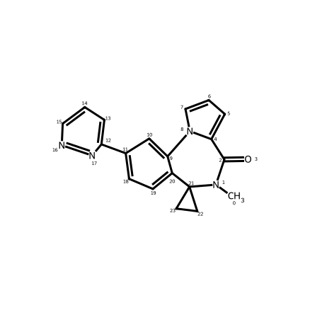 CN1C(=O)c2cccn2-c2cc(-c3cccnn3)ccc2C12CC2